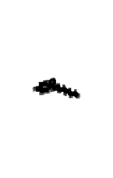 CCCCCCCC=CC(=O)N1CCC(C)CC1